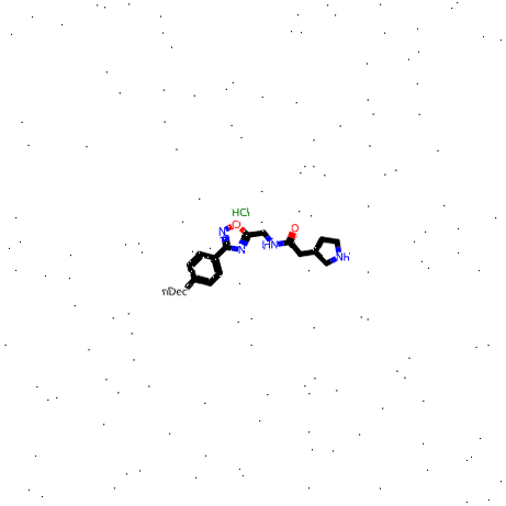 CCCCCCCCCCc1ccc(-c2noc(CNC(=O)CC3CCNC3)n2)cc1.Cl